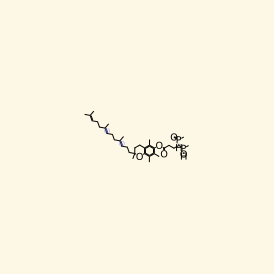 CC(C)=CCC/C(C)=C/CC/C(C)=C/CCC1(C)CCc2c(C)c(OC(=O)CCC([PH](C)=O)[PH](C)=O)c(C)c(C)c2O1